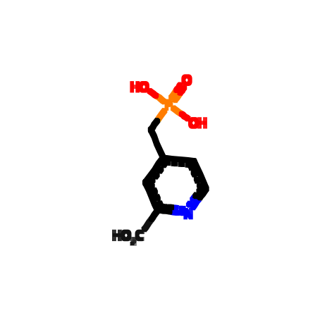 O=C(O)c1cc(CP(=O)(O)O)ccn1